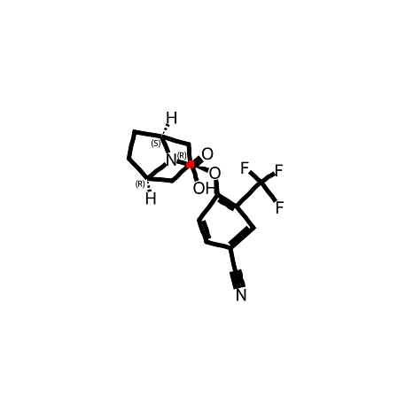 N#Cc1ccc(O[C@H]2C[C@H]3CC[C@@H](C2)N3C(=O)O)c(C(F)(F)F)c1